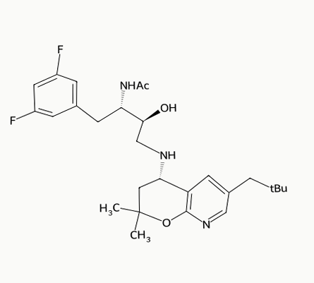 CC(=O)N[C@@H](Cc1cc(F)cc(F)c1)[C@@H](O)CN[C@H]1CC(C)(C)Oc2ncc(CC(C)(C)C)cc21